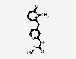 Cn1c(Cc2ccnc(NC(=O)OC(C)(C)C)c2)cccc1=O